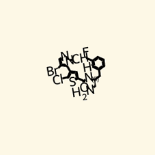 Cn1ncc(Br)c1-c1cc(C(=O)N[C@H](CN)Cc2cccc(CF)c2)sc1Cl